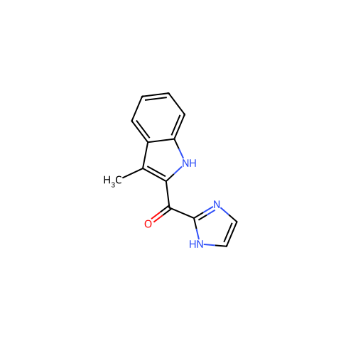 Cc1c(C(=O)c2ncc[nH]2)[nH]c2ccccc12